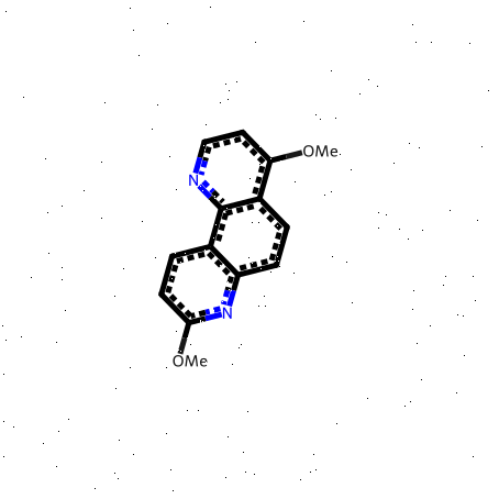 COc1ccc2c(ccc3c(OC)ccnc32)n1